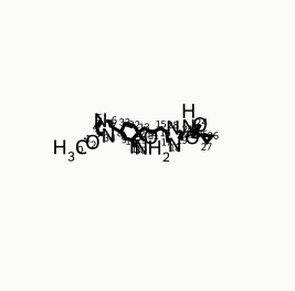 CCOc1cncc(C2=CC(F)C(CCCc3cncc(NS(=O)(=O)C4CC4)n3)(C(N)=O)C=C2)n1